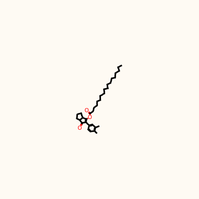 CCCCCCCCCCCCCCCCCC(=O)OC1=C(c2ccc(C)c(C)c2)C(=O)C2CCCC12